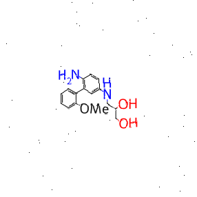 COc1ccccc1-c1cc(NCC(O)CO)ccc1N